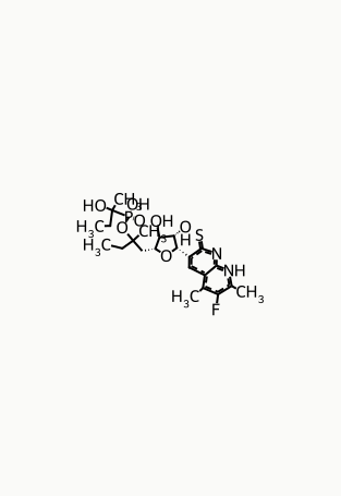 CCC(C)(C[C@H]1O[C@@H](c2cc3c(C)c(F)c(C)[nH]c-3nc2=S)[C@@H](O)C1O)OP(=O)(O)C(C)(O)CC